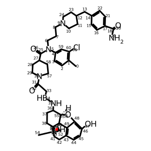 Cc1ccc(N(CCCN2CCC(Cc3ccc(C(N)=O)cc3)CC2)C(=O)C2CCN(C(=O)CBNC3CC[C@]4(O)C5Cc6ccc(O)c7c6[C@]4(CCN5C)[C@@H]3O7)CC2)cc1Cl